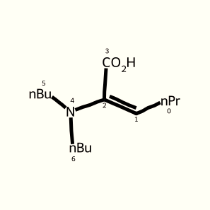 CCC/C=C(\C(=O)O)N(CCCC)CCCC